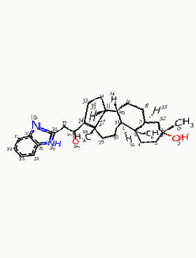 C[C@@]1(O)CC[C@@]2(C)[C@@H](CC[C@H]3[C@H]4CC[C@H](C(=O)Cc5nc6ccccc6[nH]5)[C@@]4(C)CC[C@@H]32)C1